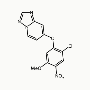 COc1cc(Oc2ccn3ncnc3c2)c(Cl)cc1[N+](=O)[O-]